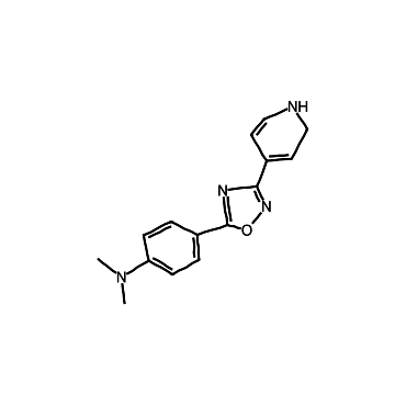 CN(C)c1ccc(-c2nc(C3=CCNC=C3)no2)cc1